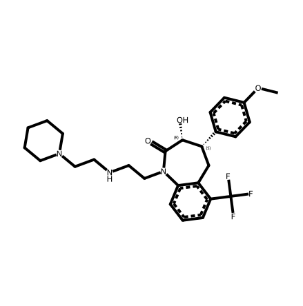 COc1ccc([C@@H]2Cc3c(cccc3C(F)(F)F)N(CCNCCN3CCCCC3)C(=O)[C@@H]2O)cc1